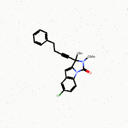 CCCCC1(C#CCCc2ccccc2)c2cc3cc(Cl)ccc3n2C(=O)N1OC